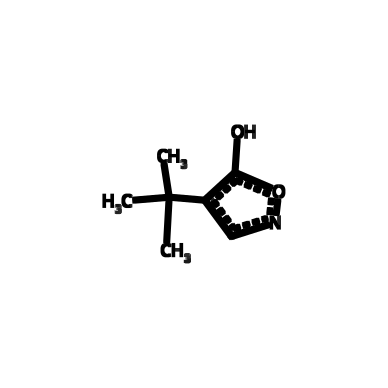 CC(C)(C)c1cnoc1O